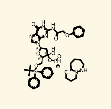 CC(C)(C)[Si](OC[C@H]1O[C@@H](n2cnc3c(=O)[nH]c(NC(=O)COc4ccccc4)nc32)C[C@]1(O)O[PH](=O)[O-])(c1ccccc1)c1ccccc1.[C+]1=C2CCCCNN2CCC1